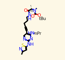 CCCNc1nc(Nc2cc(C)ns2)ncc1C#CCCCNC(=O)[C@H](C)N(C)C(=O)OC(C)(C)C